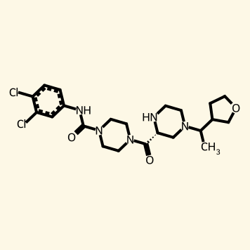 CC(C1CCOC1)N1CCN[C@@H](C(=O)N2CCN(C(=O)Nc3ccc(Cl)c(Cl)c3)CC2)C1